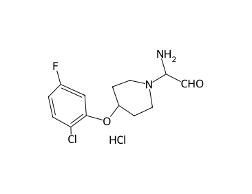 Cl.NC(C=O)N1CCC(Oc2cc(F)ccc2Cl)CC1